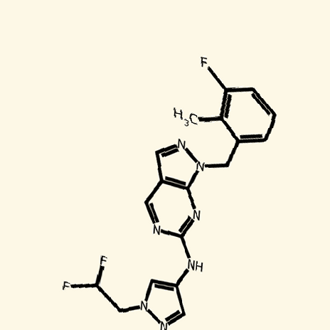 Cc1c(F)cccc1Cn1ncc2cnc(Nc3cnn(CC(F)F)c3)nc21